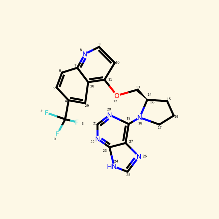 FC(F)(F)c1ccc2nccc(OC[C@H]3CCCN3c3ncnc4[nH]cnc34)c2c1